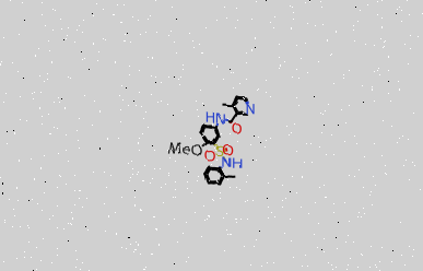 COc1ccc(NC(=O)c2cnccc2C)cc1S(=O)(=O)Nc1ccccc1C